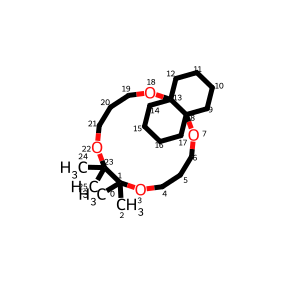 CC1(C)OCCCOC23CCCCC2(CCCC3)OCCCOC1(C)C